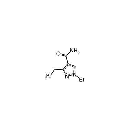 CCn1cc(C(N)=O)c(CC(C)C)n1